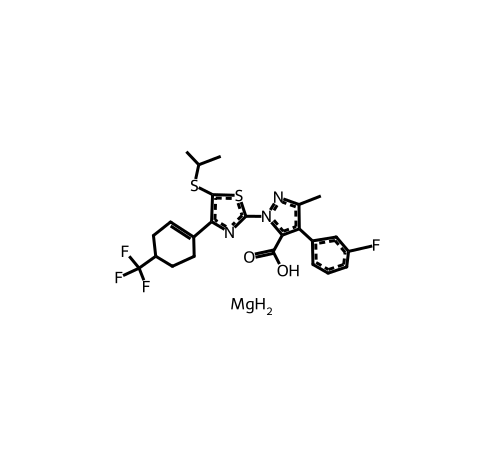 Cc1nn(-c2nc(C3=CCC(C(F)(F)F)CC3)c(SC(C)C)s2)c(C(=O)O)c1-c1cccc(F)c1.[MgH2]